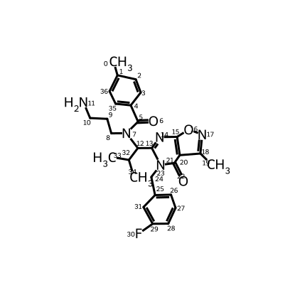 Cc1ccc(C(=O)N(CCCN)C(c2nc3onc(C)c3c(=O)n2Cc2cccc(F)c2)C(C)C)cc1